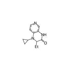 CCC1C(=O)Nc2cnccc2N1C1CC1